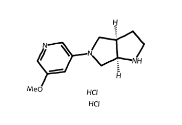 COc1cncc(N2C[C@H]3CCN[C@H]3C2)c1.Cl.Cl